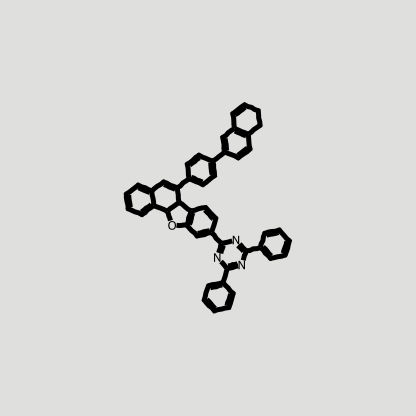 C1=Cc2cc(-c3ccc(C4=Cc5ccccc5C5Oc6cc(-c7nc(-c8ccccc8)nc(-c8ccccc8)n7)ccc6C45)cc3)ccc2CC1